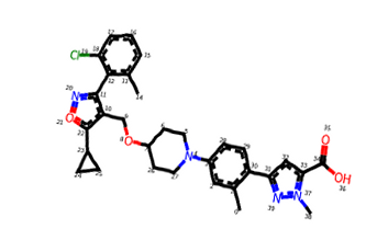 Cc1cc(N2CCC(OCc3c(-c4c(C)cccc4Cl)noc3C3CC3)CC2)ccc1-c1cc(C(=O)O)n(C)n1